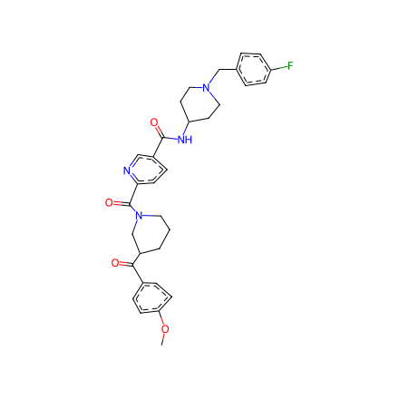 COc1ccc(C(=O)C2CCCN(C(=O)c3ccc(C(=O)NC4CCN(Cc5ccc(F)cc5)CC4)cn3)C2)cc1